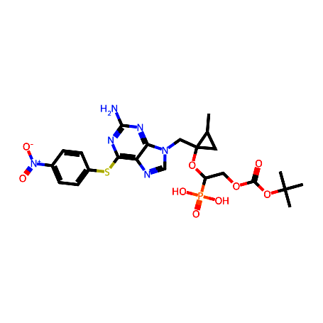 CC1CC1(Cn1cnc2c(Sc3ccc([N+](=O)[O-])cc3)nc(N)nc21)OC(COC(=O)OC(C)(C)C)P(=O)(O)O